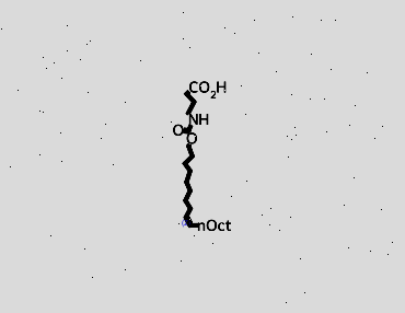 CCCCCCCC/C=C\CCCCCCCCOC(=O)NCCCC(=O)O